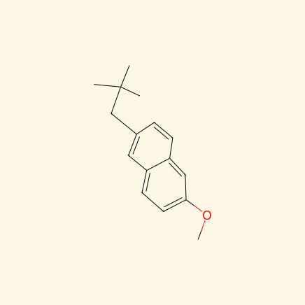 COc1ccc2cc(CC(C)(C)C)ccc2c1